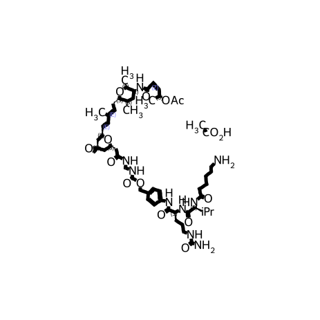 CC(=O)O.CC(=O)O[C@@H](C)/C=C\C(=O)N[C@@H]1C[C@H](C)[C@H](C/C=C(C)/C=C/[C@@H]2C[C@]3(CO3)C[C@@H](CC(=O)NCNC(=O)OCc3ccc(NC(=O)[C@H](CCCNC(N)=O)NC(=O)[C@@H](NC(=O)CCCCCN)C(C)C)cc3)O2)O[C@@H]1C